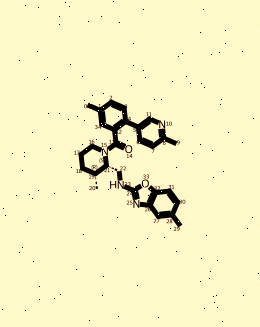 Cc1ccc(-c2ccc(C)nc2)c(C(=O)N2CCC[C@@H](C)[C@H]2CNc2nc3cc(C)ccc3o2)c1